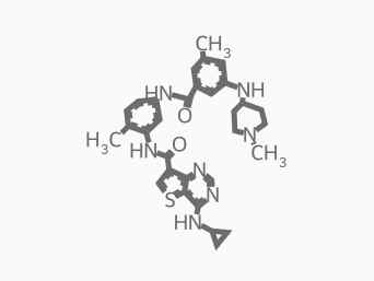 Cc1cc(NC2CCN(C)CC2)cc(C(=O)Nc2ccc(C)c(NC(=O)c3csc4c(NC5CC5)ncnc34)c2)c1